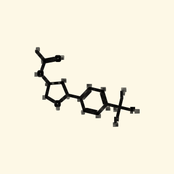 CC(=O)OC1COC(c2ccc(C(F)(F)F)cc2)C1